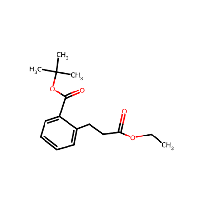 CCOC(=O)CCc1ccccc1C(=O)OC(C)(C)C